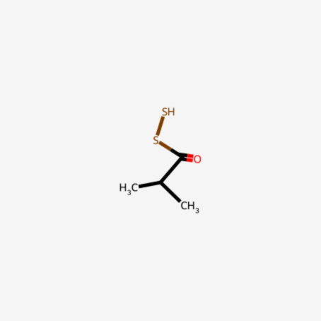 CC(C)C(=O)SS